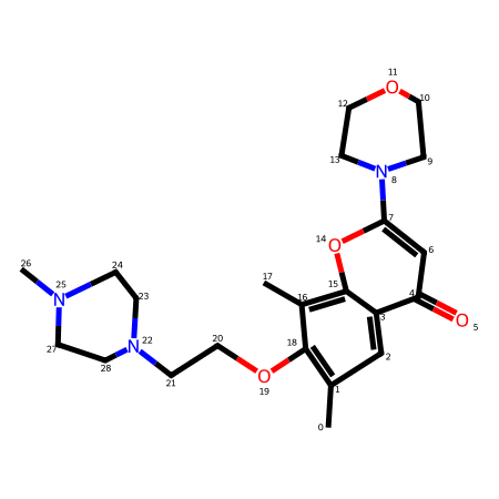 Cc1cc2c(=O)cc(N3CCOCC3)oc2c(C)c1OCCN1CCN(C)CC1